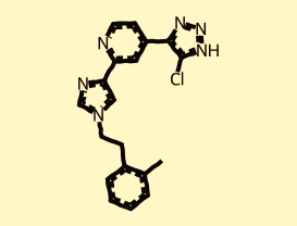 Cc1ccccc1CCn1cnc(-c2cc(-c3nn[nH]c3Cl)ccn2)c1